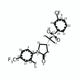 CC(C)([C@@H]1CC(=O)N(c2ccc(C(F)(F)F)cc2F)C1)S(=O)(=O)c1cccc(C(F)(F)F)c1